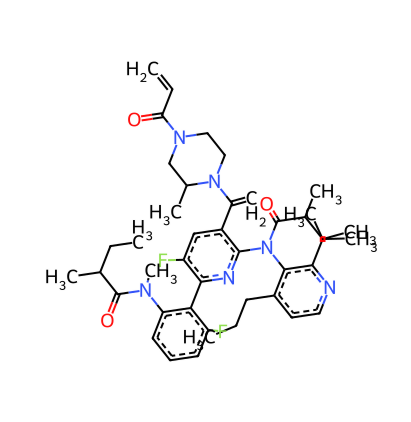 C=CC(=O)N1CCN(C(=C)c2cc(F)c(-c3c(F)cccc3N(C)C(=O)C(C)CC)nc2N(C(=O)C(C)CC)c2c(CCC)ccnc2C(C)C)C(C)C1